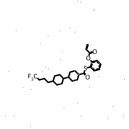 C=CC(=O)Oc1ccccc1SC(=O)C1CCC(C2CCC(CCCC(F)(F)F)CC2)CC1